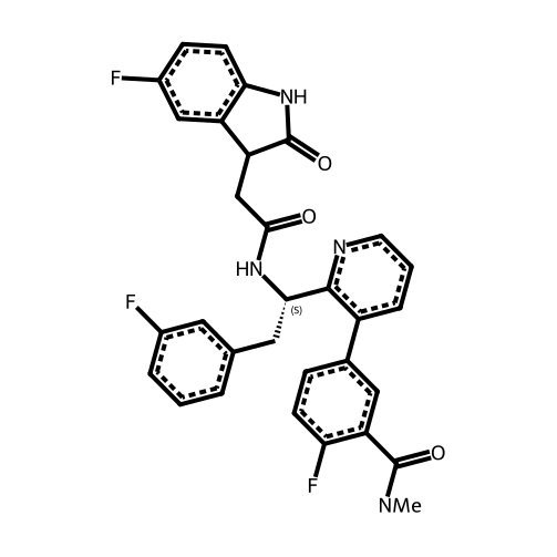 CNC(=O)c1cc(-c2cccnc2[C@H](Cc2cccc(F)c2)NC(=O)CC2C(=O)Nc3ccc(F)cc32)ccc1F